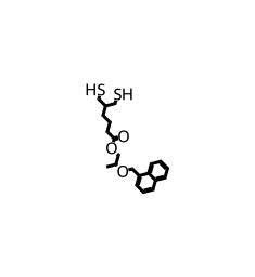 CC(COC(=O)CCCC(CS)CS)OCc1cccc2ccccc12